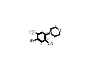 Cc1cc(N2CCOCC2)c(C#N)cc1C(C)C